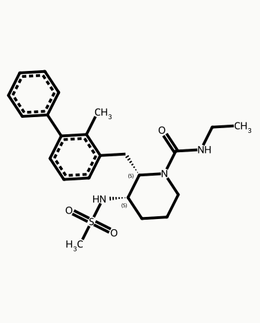 CCNC(=O)N1CCC[C@H](NS(C)(=O)=O)[C@@H]1Cc1cccc(-c2ccccc2)c1C